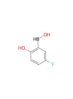 OBc1cc(F)ccc1O